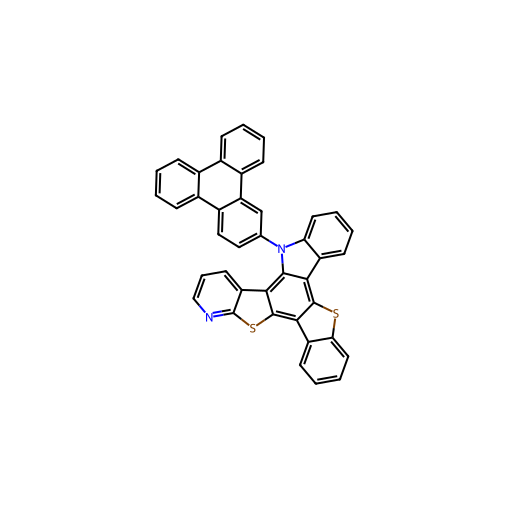 c1ccc2c(c1)sc1c2c2sc3ncccc3c2c2c1c1ccccc1n2-c1ccc2c3ccccc3c3ccccc3c2c1